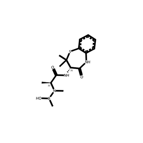 CB(O)N(C)[C@@H](C)C(=O)N[C@H]1C(=O)Nc2ccccc2SC1(C)C